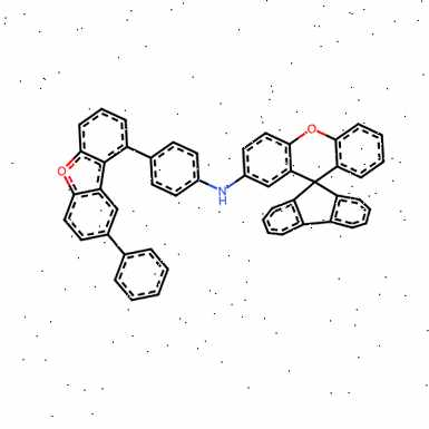 c1ccc(-c2ccc3oc4cccc(-c5ccc(Nc6ccc7c(c6)C6(c8ccccc8O7)c7ccccc7-c7ccccc76)cc5)c4c3c2)cc1